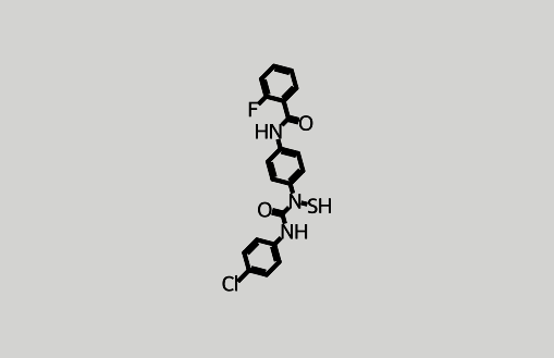 O=C(Nc1ccc(N(S)C(=O)Nc2ccc(Cl)cc2)cc1)c1ccccc1F